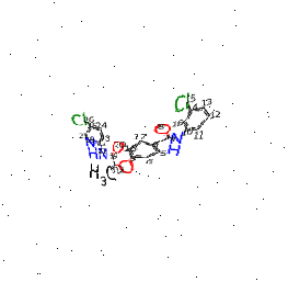 CC(Oc1ccc(C(=O)Nc2cccc(Cl)c2)cc1)C(=O)Nc1ccc(Cl)cn1